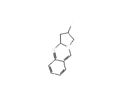 BrC1CC2N=c3ccccc3=CN2C1